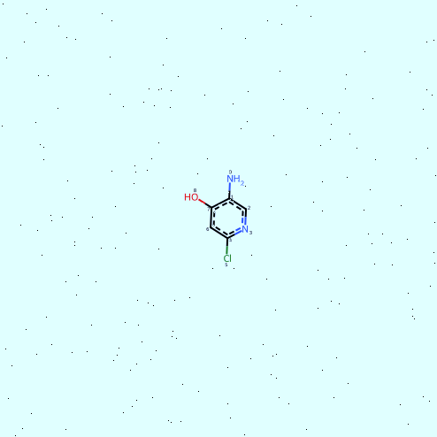 Nc1cnc(Cl)cc1O